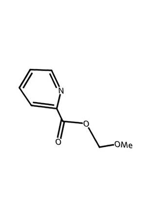 COCOC(=O)c1ccccn1